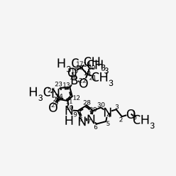 COCCN1CCn2nc(Nc3cc(B4OC(C)(C)C(C)(C)O4)cn(C)c3=O)cc2C1